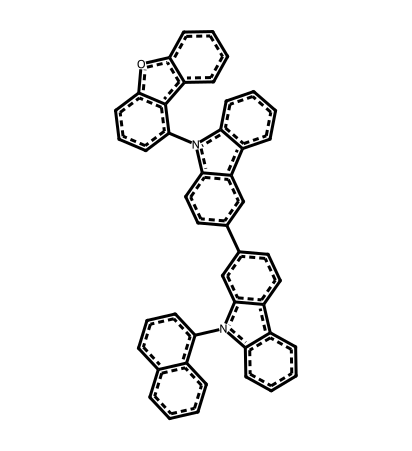 c1ccc2c(-n3c4ccccc4c4ccc(-c5ccc6c(c5)c5ccccc5n6-c5cccc6oc7ccccc7c56)cc43)cccc2c1